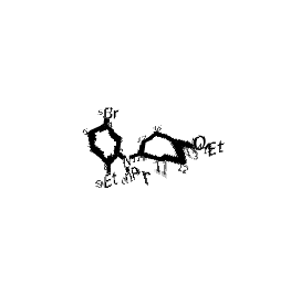 CCCN(c1cc(Br)ccc1CC)C1CCC(OCC)CC1